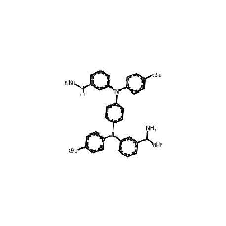 CCCCNc1cccc(N(c2ccc(N(c3ccc(C(C)(C)C)cc3)c3cccc(C(N)CCC)c3)cc2)c2ccc(C(C)(C)C)cc2)c1